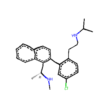 CN[C@H](C)c1c(-c2cc(Cl)ccc2CCNC(C)C)ccc2ccccc12